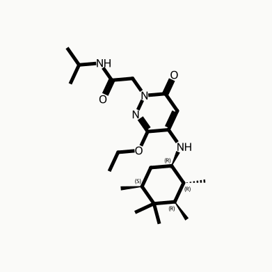 CCOc1nn(CC(=O)NC(C)C)c(=O)cc1N[C@@H]1C[C@H](C)C(C)(C)[C@H](C)[C@H]1C